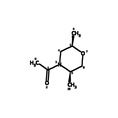 CC(=O)N1C[C@@H](C)OC[C@H]1C